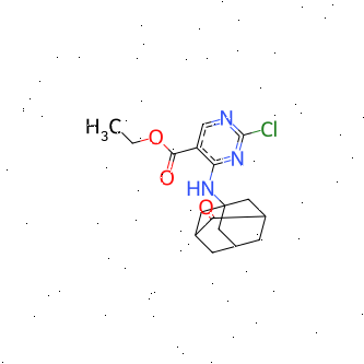 CCOC(=O)c1cnc(Cl)nc1NC12CC3CC(C1)C(=O)C(C3)C2